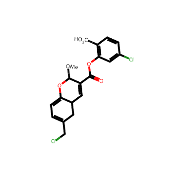 COC1OC2=CC=C(CCl)CC2C=C1C(=O)Oc1cc(Cl)ccc1C(=O)O